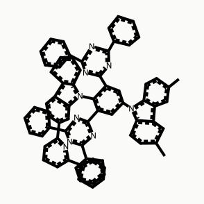 Cc1ccc2c(c1)c1cc(C)ccc1n2-c1cc(-c2nc(-c3ccccc3)nc(-c3ccccc3)n2)c(-n2c3ccccc3c3ccc(-c4cccc(-c5ccccc5)n4)cc32)c(-c2nc(-c3ccccc3)nc(-c3ccccc3)n2)c1